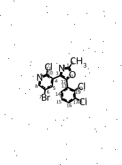 Cc1nc(-c2cc(Br)cnc2Cl)c(-c2cccc(Cl)c2Cl)o1